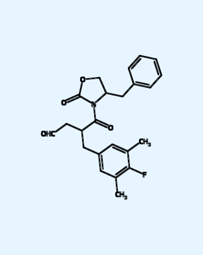 Cc1cc(CC(CC=O)C(=O)N2C(=O)OCC2Cc2ccccc2)cc(C)c1F